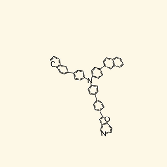 c1ccc2cc(-c3ccc(N(c4ccc(-c5ccc(-c6cc7cnccc7o6)cc5)cc4)c4ccc(-c5ccc6ccccc6c5)cc4)cc3)ccc2c1